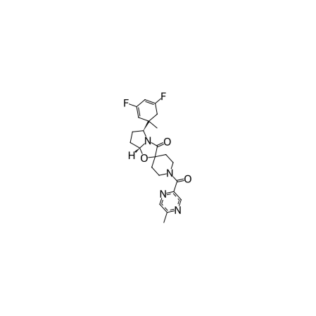 Cc1cnc(C(=O)N2CCC3(CC2)O[C@@H]2CC[C@@H](C4(C)C=C(F)C=C(F)C4)N2C3=O)cn1